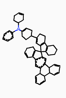 C1=CC2c3cc4c(cc3C3C=CC=CC3C2C=C1)C1(C2=C(CCC(C3CC=C(N(c5ccccc5)C5CC=CCC5)CC3)=C2)C2=C1CCCC2)C1=C4C=CCC1